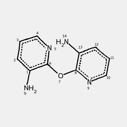 Nc1cccnc1Oc1ncccc1N